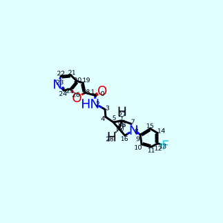 O=C(NCCC1[C@H]2CN(c3ccc(F)cc3)C[C@@H]12)c1cc2ccncc2o1